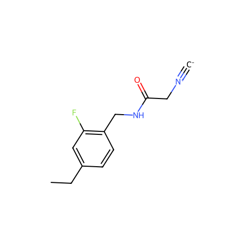 [C-]#[N+]CC(=O)NCc1ccc(CC)cc1F